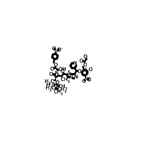 CC(O[Si](C)(C)C(C)(C)C)[C@H]1C(=O)N(C(O)C(=O)OCc2ccc([N+](=O)[O-])cc2)[C@@H]1[C@@H](C)C(=O)c1cn2cnc(C(=O)c3cccnc3)c2s1.O.O=CC(=O)OCc1ccc([N+](=O)[O-])cc1